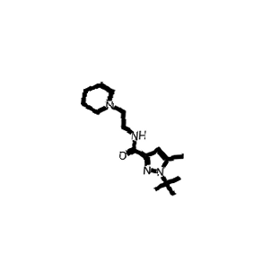 Cc1cc(C(=O)NCCN2CCCCC2)nn1C(C)(C)C